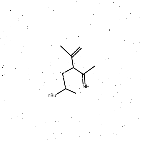 C=C(C)C(CC(C)CCCC)C(C)=N